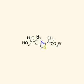 CCOC(=O)C(C)c1nc(CC(C)(C)C(=O)O)cs1